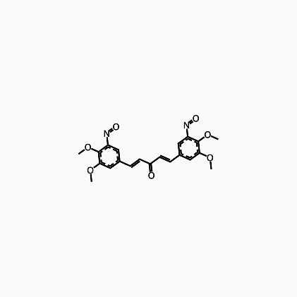 COc1cc(/C=C/C(=O)/C=C/c2cc(N=O)c(OC)c(OC)c2)cc(N=O)c1OC